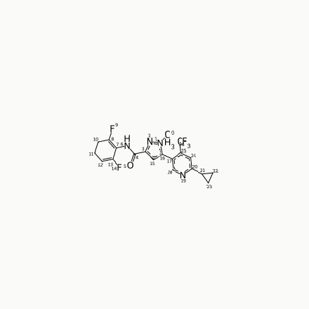 Cn1nc(C(=O)NC2=C(F)CCC=C2F)cc1-c1cnc(C2CC2)cc1C(F)(F)F